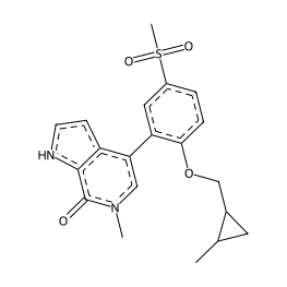 CC1CC1COc1ccc(S(C)(=O)=O)cc1-c1cn(C)c(=O)c2[nH]ccc12